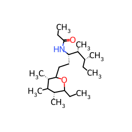 CCC(=O)N[C@@H](CCC1OC(CC)[C@H](C)C(C)[C@@H]1C)[C@H](C)[C@H](C)CC